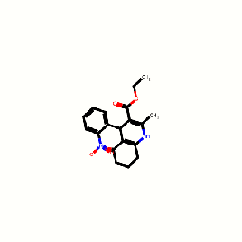 CCOC(=O)C1=C(C)NC2=C(C(=O)CCC2)C1c1ccccc1[N+](=O)[O-]